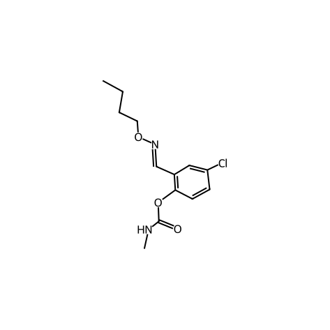 CCCCO/N=C/c1cc(Cl)ccc1OC(=O)NC